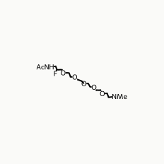 CNCCOCCOCCOCCOCCOCC(F)CNC(C)=O